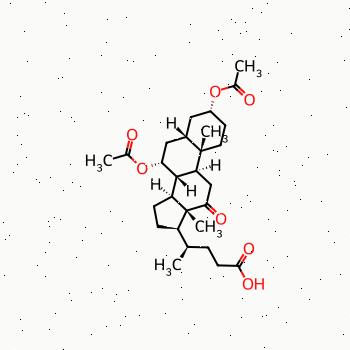 CC(=O)O[C@@H]1CC[C@@]2(C)[C@@H](C1)C[C@@H](OC(C)=O)[C@@H]1[C@@H]2CC(=O)[C@]2(C)[C@@H]([C@H](C)CCC(=O)O)CC[C@@H]12